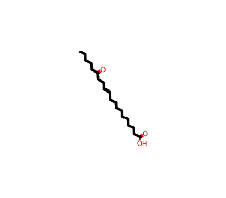 CCCCCC(=O)CCC=CCCCCCCCCCC(=O)O